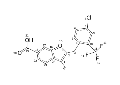 Cc1c(Cc2ccc(Cl)cc2C(F)(F)F)oc2cc(C(=O)O)ccc12